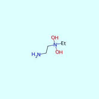 CC[N+](O)(O)CCN